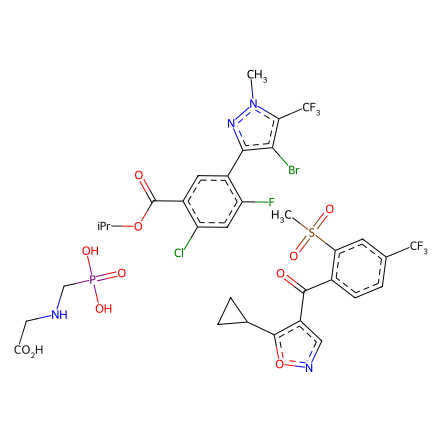 CC(C)OC(=O)c1cc(-c2nn(C)c(C(F)(F)F)c2Br)c(F)cc1Cl.CS(=O)(=O)c1cc(C(F)(F)F)ccc1C(=O)c1cnoc1C1CC1.O=C(O)CNCP(=O)(O)O